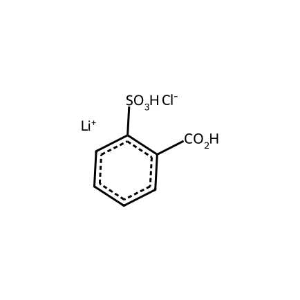 O=C(O)c1ccccc1S(=O)(=O)O.[Cl-].[Li+]